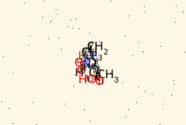 C=C/C=C1/C[C@@H](CC(C)(C)C(=O)O)CN([SH](=O)=O)/C1=C/C